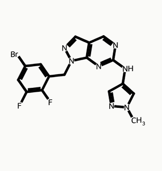 Cn1cc(Nc2ncc3cnn(Cc4cc(Br)cc(F)c4F)c3n2)cn1